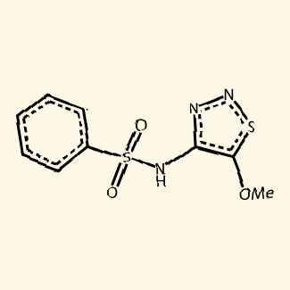 COc1snnc1NS(=O)(=O)c1[c]cccc1